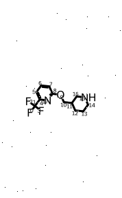 FC(F)(F)c1cccc(OCC2CCCNC2)n1